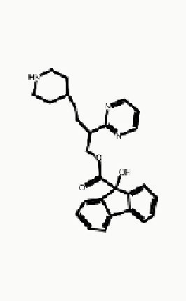 O=C(OCC(CCC1CCNCC1)c1ncccn1)C1(O)c2ccccc2-c2ccccc21